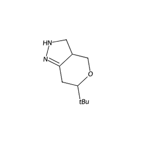 CC(C)(C)C1CC2=NNCC2CO1